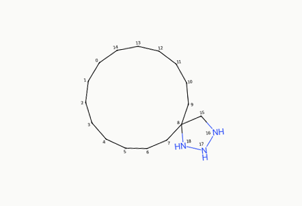 C1CCCCCCCC2(CCCCCC1)CNNN2